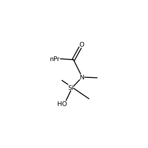 CCCC(=O)N(C)[Si](C)(C)O